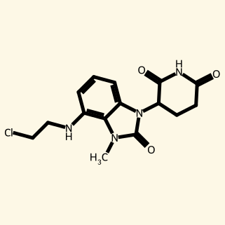 Cn1c(=O)n(C2CCC(=O)NC2=O)c2cccc(NCCCl)c21